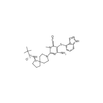 CN1C(=C=O)C(Sc2cccc3[nH]ncc23)=C(N)N=C1N1CCC2(CCC[C@H]2N[S@+]([O-])C(C)(C)C)CC1